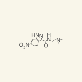 CN(C)CCNC(=O)c1n[nH]c2cc([N+](=O)[O-])ccc12